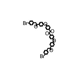 O=C(Cc1ccc(Br)cc1)c1ccc(Oc2ccc(C(=O)C(=O)c3ccc(Oc4ccc(C(=O)Cc5ccc(Br)cc5)cc4)cc3)cc2)cc1